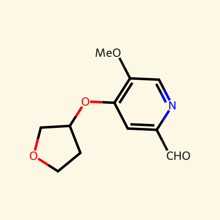 COc1cnc(C=O)cc1OC1CCOC1